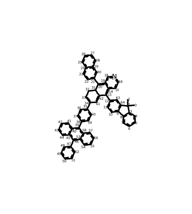 CC1(C)c2ccccc2-c2ccc(C3=c4ccncc4=C(c4ccc5ccccc5c4)C4CC=C(c5ccc(-c6c7ccccc7c(-c7ccccc7)c7ccccc67)cc5)C=C34)cc21